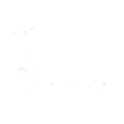 CN(C)c1ccc2cc(C(=O)NS(=O)(=O)c3ccccc3OCCOCCOCCOCCN)oc2c1